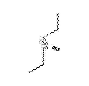 CCCCCCCC/C=C\CCCCCCCC(=O)OC(=O)C(=O)OC(=O)CCCCCCC/C=C\CCCCCCCC.[Zn].[Zn].[Zn].[Zn]